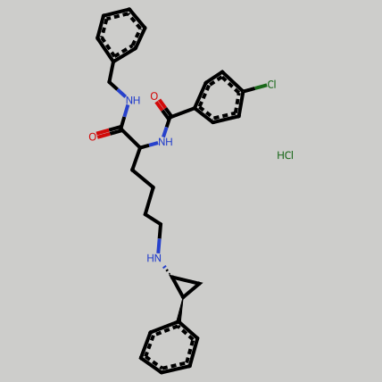 Cl.O=C(NC(CCCCN[C@@H]1C[C@H]1c1ccccc1)C(=O)NCc1ccccc1)c1ccc(Cl)cc1